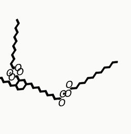 CCCCCCCCCCCC(=O)OOC(=O)CCCCCCCCC1CCC(CCCCC)C(C(=O)OOC(=O)CCCCCCCCCCC)C1